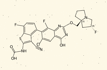 N#Cc1c(NC(=O)O)sc2c(F)ccc(-c3c(Cl)cc4c(O)nc(OC[C@@]56CCCN5C[C@H](F)C6)nc4c3F)c12